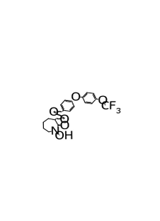 O=C1C(S(=O)(=O)c2ccc(Oc3ccc(OC(F)(F)F)cc3)cc2)CCCCN1O